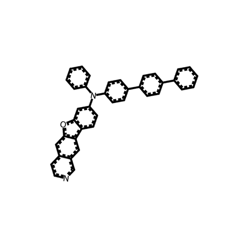 c1ccc(-c2ccc(-c3ccc(N(c4ccccc4)c4ccc5c(c4)oc4cc6ccncc6cc45)cc3)cc2)cc1